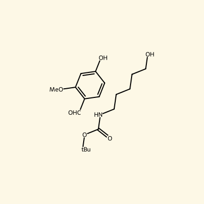 CC(C)(C)OC(=O)NCCCCCO.COc1cc(O)ccc1C=O